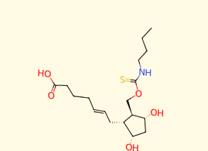 CCCCNC(=S)OC[C@@H]1[C@@H](CC=CCCCC(=O)O)[C@@H](O)C[C@H]1O